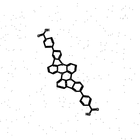 O=C(O)c1ccc(-c2ccc3c(c2)-c2cccc4c2B3c2cccc3c2N4c2cccc4c2B3c2ccc(-c3ccc(C(=O)O)cc3)cc2-4)cc1